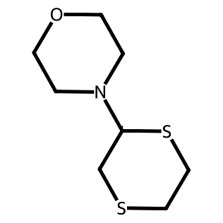 C1CN([C]2CSCCS2)CCO1